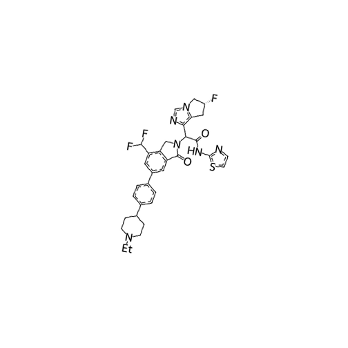 CCN1CCC(c2ccc(-c3cc4c(c(C(F)F)c3)CN(C(C(=O)Nc3nccs3)c3ncn5c3C[C@@H](F)C5)C4=O)cc2)CC1